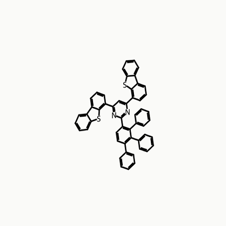 c1ccc(-c2ccc(-c3nc(-c4cccc5c4sc4ccccc45)cc(-c4cccc5c4sc4ccccc45)n3)c(-c3ccccc3)c2-c2ccccc2)cc1